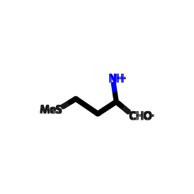 CSCCC([NH])[C]=O